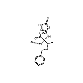 COC(=O)[C@](N=C=O)(Nc1n[nH]c(=S)s1)[C@@H](C)OCc1ccccc1